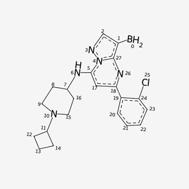 Bc1cnn2c(NC3CCN(C4CCC4)CC3)cc(-c3ccccc3Cl)nc12